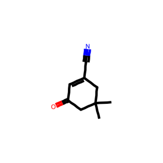 CC1(C)CC(=O)C=C(C#N)C1